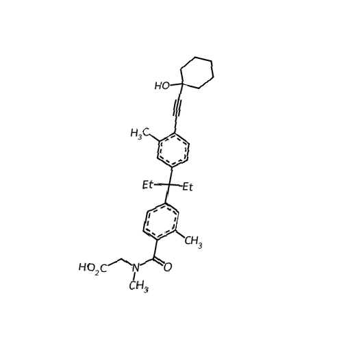 CCC(CC)(c1ccc(C#CC2(O)CCCCC2)c(C)c1)c1ccc(C(=O)N(C)CC(=O)O)c(C)c1